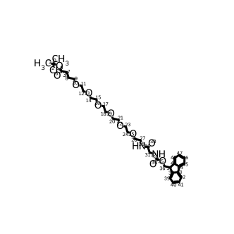 CC(C)(C)OC(=O)CCCOCCOCCOCCOCCOCCOCCNC(=O)CNC(=O)OCC1c2ccccc2-c2ccccc21